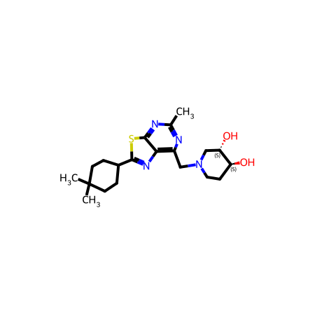 Cc1nc(CN2CC[C@H](O)[C@@H](O)C2)c2nc(C3CCC(C)(C)CC3)sc2n1